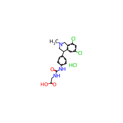 CN1Cc2c(Cl)cc(Cl)cc2C(c2ccc(NC(=O)NCC(=O)O)cc2)C1.Cl